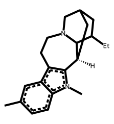 CCC1CC2C[C@H]3c4c(c5cc(C)ccc5n4C)CCN(C2)C13